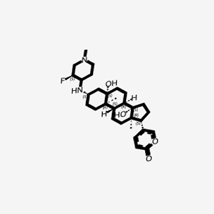 CN1CCC(N[C@H]2CC[C@]3(C)[C@H]4CC[C@]5(C)[C@@H](c6ccc(=O)oc6)CC[C@]5(O)[C@@H]4CC[C@]3(O)C2)[C@@H](F)C1